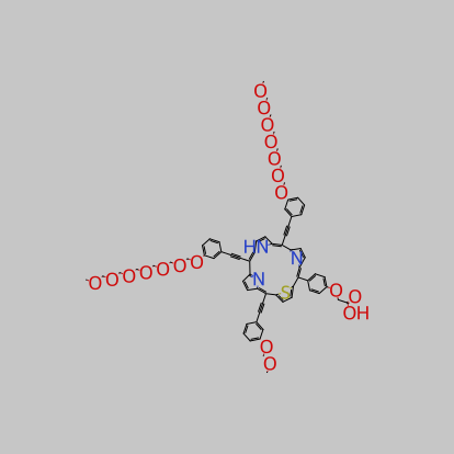 COCOCOCOCOCOCOc1cccc(C#Cc2c3nc(c(C#Cc4cccc(OCOC)c4)c4ccc(s4)c(-c4ccc(OCC(=O)O)cc4)c4nc(c(C#Cc5cccc(OCOCOCOCOCOCOC)c5)c5ccc2[nH]5)C=C4)C=C3)c1